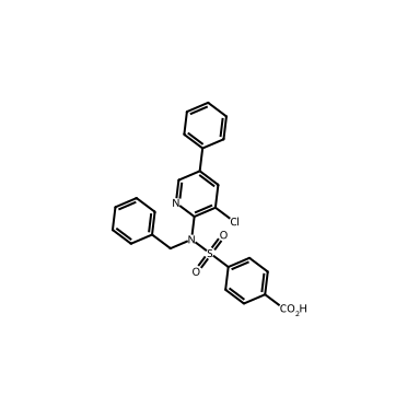 O=C(O)c1ccc(S(=O)(=O)N(Cc2ccccc2)c2ncc(-c3ccccc3)cc2Cl)cc1